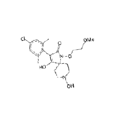 COCCON1C(=O)C(c2c(C)cc(Cl)cc2C)=C(O)C12CCN(O)CC2